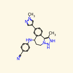 CC1=C2c3ccc(-c4cnn(C)c4)cc3C(Nc3ccc(C#N)cc3)CCN2NN1